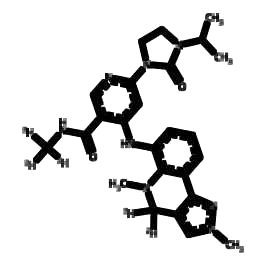 [2H]C([2H])([2H])NC(=O)c1cnc(N2CCN(C(C)C)C2=O)cc1Nc1cccc2c1N(C)C([2H])([2H])c1cn(C)nc1-2